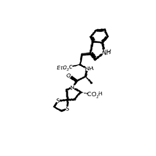 CCOC(=O)[C@@H](Cc1c[nH]c2ccccc12)N[C@@H](C)C(=O)N1CC2(C[C@H]1C(=O)O)SCCS2